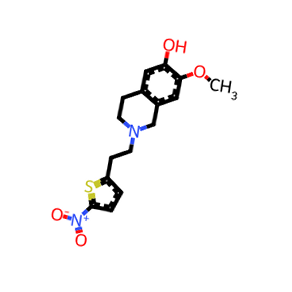 COc1cc2c(cc1O)CCN(CCc1ccc([N+](=O)[O-])s1)C2